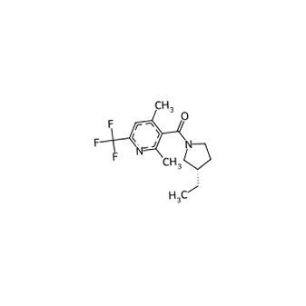 CC[C@H]1CCN(C(=O)c2c(C)cc(C(F)(F)F)nc2C)C1